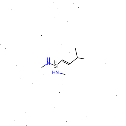 CN[SiH](C=CC(C)C)NC